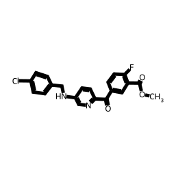 COC(=O)c1cc(C(=O)c2ccc(NCc3ccc(Cl)cc3)cn2)ccc1F